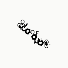 CCN1C(=O)OC[C@@H]1Cc1ccc(Oc2ccc(N(C)c3ccc([N+](=O)[O-])cn3)cc2F)cc1